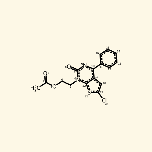 CC(=O)OCCn1c(=O)nc(-c2ccccc2)c2cc(Cl)sc21